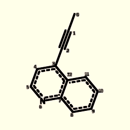 CC#Cc1ccnc2ccccc12